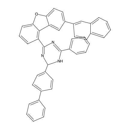 c1ccc(C2=NC(c3cccc4oc5ccc(-c6ccc7ccccc7c6)cc5c34)=NC(c3ccc(-c4ccccc4)cc3)N2)cc1